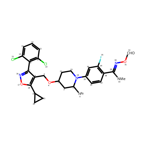 CCCC1CC(OCc2c(-c3c(Cl)cccc3Cl)noc2C2CC2)CCN1c1ccc(/C(=N/OC=O)NC)c(F)c1